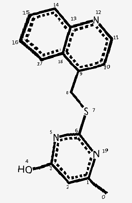 Cc1cc(O)nc(SCc2ccnc3ccccc23)n1